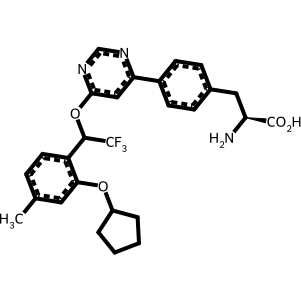 Cc1ccc(C(Oc2cc(-c3ccc(C[C@H](N)C(=O)O)cc3)ncn2)C(F)(F)F)c(OC2CCCC2)c1